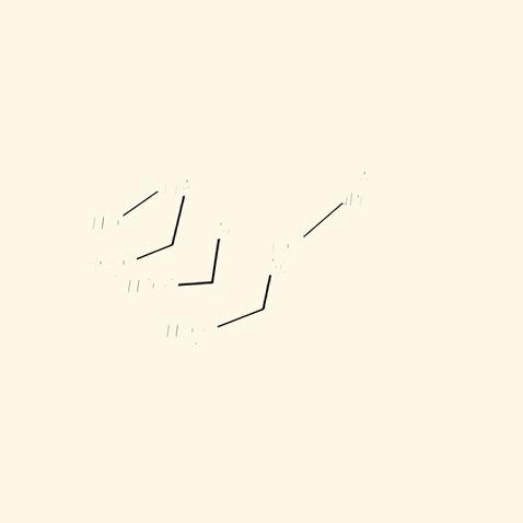 CC(=O)CC(=O)O.CC(=O)CC(=O)O.CC(=O)CC(=O)O.CC(C)O.CC(C)O.[Al]